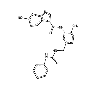 Cc1ccc(CNC(=O)Nc2ccccc2)cc1NC(=O)c1cnc2cc(C#N)ccn12